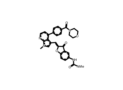 CNC(=O)Nc1ccc2c(c1)C(=O)C(=Cc1cn(C)c3nccc(-c4ccc(C(=O)N5CCOCC5)cc4)c13)O2